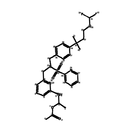 CC(=O)OC(C)Nc1cccc(CN(Cc2ccc(C(C)(C)CCOC(F)F)cc2)S(=O)(=O)c2ccccn2)n1